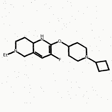 CCN1CCC2NC(OC3CCN(C4CCC4)CC3)=C(F)C=C2C1